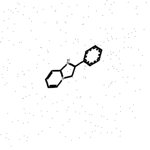 C1=CC2NC(c3ccccc3)CN2C=C1